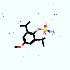 COc1cc(C(C)C)c(OS(N)(=O)=O)c(C(C)C)c1